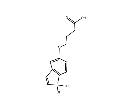 O=C(O)CCCOc1ccc2c(c1)C=CS2(O)O